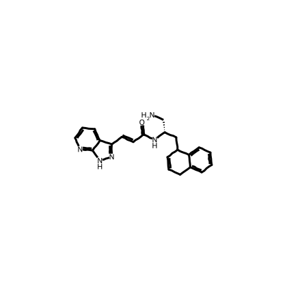 NC[C@H](CC1C=CCc2ccccc21)NC(=O)/C=C/c1n[nH]c2ncccc12